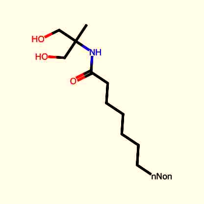 CCCCCCCCCCCCCCCC(=O)NC(C)(CO)CO